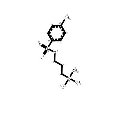 CCCC[Si](C)(C)CCCOS(=O)(=O)c1ccc(C)cc1